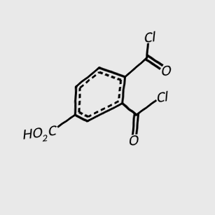 O=C(O)c1ccc(C(=O)Cl)c(C(=O)Cl)c1